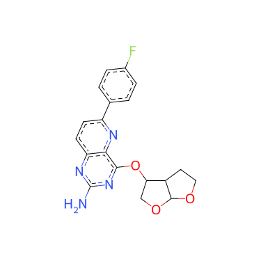 Nc1nc(OC2COC3OCCC23)c2nc(-c3ccc(F)cc3)ccc2n1